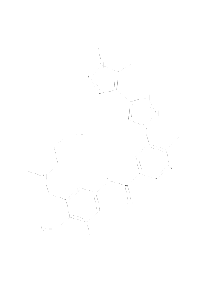 COCCN(C)Cc1cc(NC(=O)c2cnc(C)c(-n3cc(-c4cnn(C)c4C)nn3)c2)cc(C(F)(F)F)c1OC